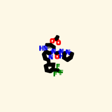 CC(=O)O[C@@H]1CNc2ccc(-c3cccc(C(F)(F)F)c3)nc2N(C(=O)Nc2ccccn2)C1